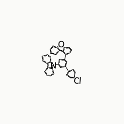 Clc1ccc(-c2cc(-c3cccc4oc5ccccc5c34)cc(-n3c4ccccc4c4ccccc43)c2)cc1